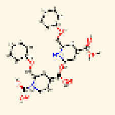 COC(=O)C1CCNC(COC2CCCCC2)C1.O=C(O)C1CCN(C(=O)O)C(COC2CCCCC2)C1